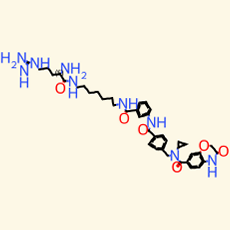 N=C(N)NCCC[C@H](N)C(=O)NCCCCCCCNC(=O)c1cccc(NC(=O)c2ccc(CN(C(=O)c3ccc4c(c3)OCC(=O)N4)C3CC3)cc2)c1